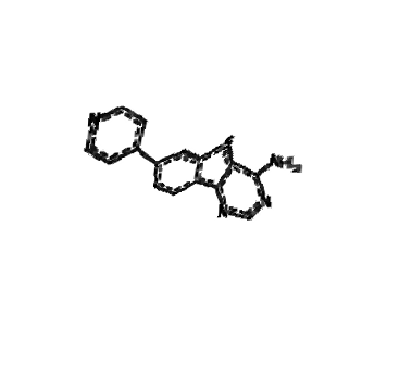 Nc1ncnc2c1sc1cc(-c3ccncc3)ccc12